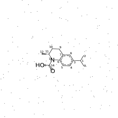 CC(C)c1ccc2c(c1)CC[C@H](C)N2C(=O)O